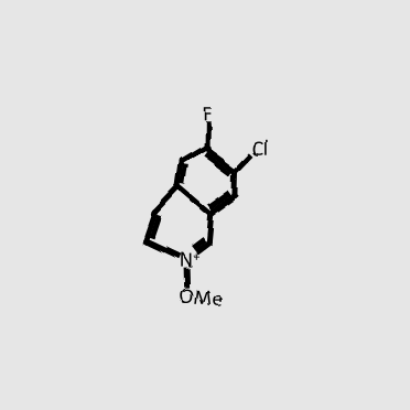 CO[n+]1ccc2cc(F)c(Cl)cc2c1